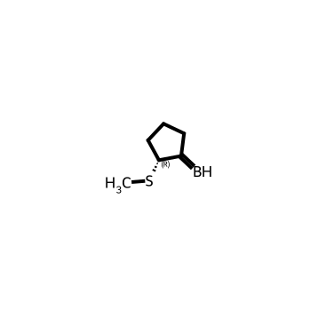 B=C1CCC[C@H]1SC